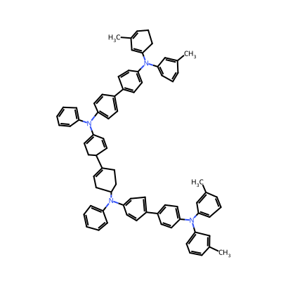 CC1=CCCC(N(c2ccc(-c3ccc(N(C4=CCC(C5=CCC(N(c6ccccc6)c6ccc(-c7ccc(N(c8cccc(C)c8)c8cccc(C)c8)cc7)cc6)CC5)C=C4)c4ccccc4)cc3)cc2)c2cccc(C)c2)=C1